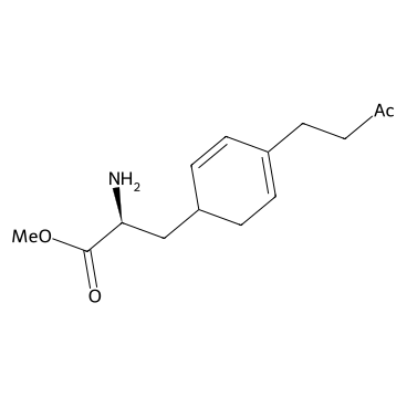 COC(=O)[C@@H](N)CC1C=CC(CCC(C)=O)=CC1